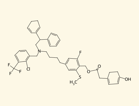 CSc1cc(CCCCN(Cc2cccc(C(F)(F)F)c2Cl)CC(C2=CCCC=C2)c2ccccc2)cc(F)c1COC(=O)CC1=CC=C(O)CC1